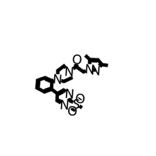 Cc1cc(C)n(CC(=O)N2CCN(c3ccccc3-c3cnc(S(C)(=O)=O)nc3)CC2)n1